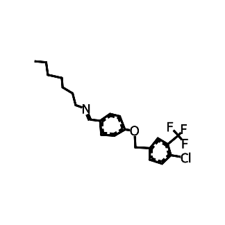 CCCCCCCN=Cc1ccc(OCc2ccc(Cl)c(C(F)(F)F)c2)cc1